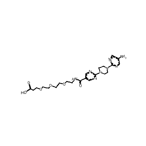 Nc1cnc(N2CCN(c3ncc(C(=O)NCCOCCOCCOCCC(=O)O)cn3)CC2)nc1